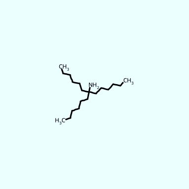 CCCCCCC(N)(CCCCCC)CCCCCC